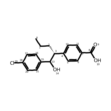 CCC[C@H](c1ccc(C(=O)O)cc1)C(O)c1ccc(Cl)cc1